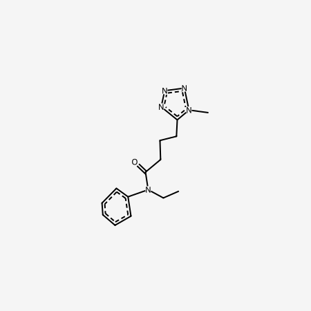 CCN(C(=O)CCCc1nnnn1C)c1ccccc1